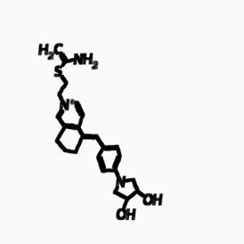 C=C(N)SCC[n+]1ccc2c(c1)CCC/C2=C\c1ccc(N2CC(O)C(O)C2)cc1